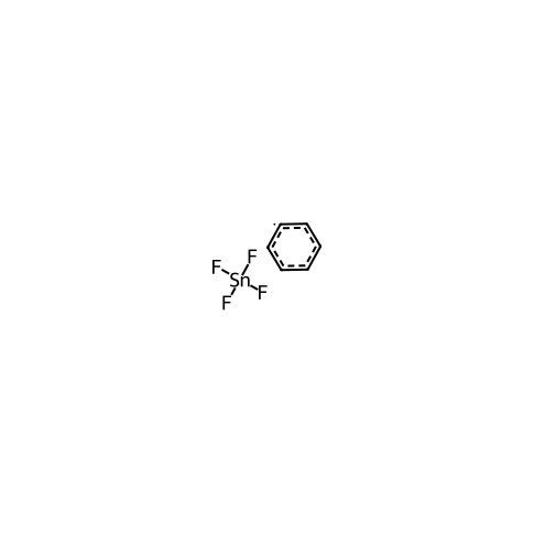 [F][Sn]([F])([F])[F].[c]1ccccc1